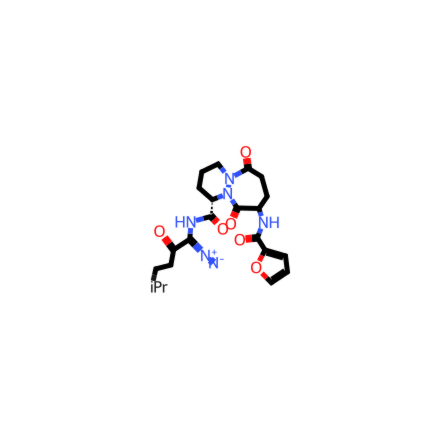 CC(C)CCC(=O)C(=[N+]=[N-])NC(=O)[C@@H]1CCCN2C(=O)CCC(NC(=O)c3ccco3)C(=O)N12